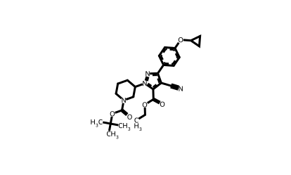 CCOC(=O)c1c(C#N)c(-c2ccc(OC3CC3)cc2)nn1C1CCCN(C(=O)OC(C)(C)C)C1